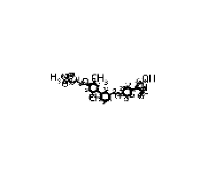 Cc1cc(-c2cccc(COc3ccc(-c4cc(O)n[s+]4[O-])cc3)c2)c(C)cc1OCCCS(C)(=O)=O